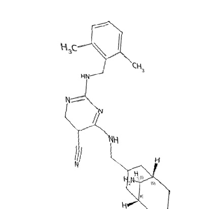 Cc1cccc(C)c1CNC1=NCC(C#N)C(NCC2C[C@H]3CCC[C@@H](C2)[C@@H]3N)=N1